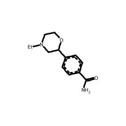 CCN1CCOC(c2ccc(C(N)=O)cc2)C1